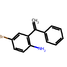 C=C(c1ccccc1)c1cc(Br)ccc1N